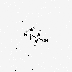 C#N.O=S(=O)(O)O.[Fe]